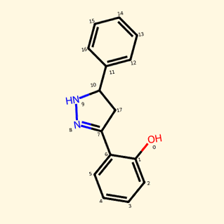 Oc1ccccc1C1=NNC(c2ccccc2)C1